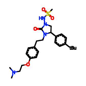 CN(C)CCOc1ccc(CCN2C(=O)N(NS(C)(=O)=O)CC2c2ccc(C(C)(C)C)cc2)cc1